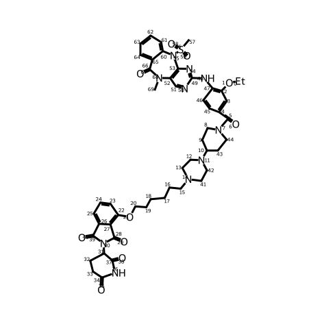 CCOc1cc(C(=O)N2CCC(N3CCN(CCCCCCOc4cccc5c4C(=O)N(C4CCC(=O)NC4=O)C5=O)CC3)CC2)ccc1Nc1ncc2c(n1)N(S(C)(=O)=O)c1ccccc1C(=O)N2C